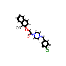 O=Nc1c(OCC(=O)N2CCN(Cc3ccc(Cl)cc3)CC2)ccc2ccccc12